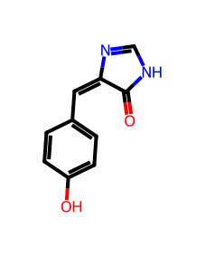 O=C1NC=N/C1=C/c1ccc(O)cc1